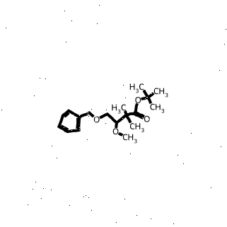 COC(COCc1ccccc1)C(C)(C)C(=O)OC(C)(C)C